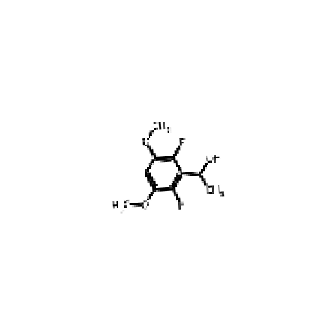 COc1cc(OC)c(F)c(C(C)O)c1F